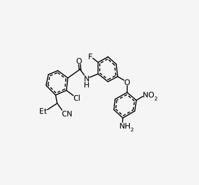 CCC(C#N)c1cccc(C(=O)Nc2cc(Oc3ccc(N)cc3[N+](=O)[O-])ccc2F)c1Cl